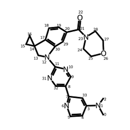 CN(C)c1ccnc(-c2cnc(N3CC4(CC4)c4ccc(C(=O)N5CCOCC5)cc43)nc2)c1